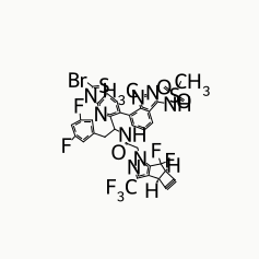 Cn1nc(NS(C)(=O)=O)c2cccc(-c3cc4sc(Br)nc4nc3C(Cc3cc(F)cc(F)c3)NC(=O)Cn3nc(C(F)(F)F)c4c3C(F)(F)[C@@H]3C#C[C@H]43)c21